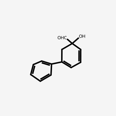 O=CC1(O)C=CC=C(c2ccccc2)C1